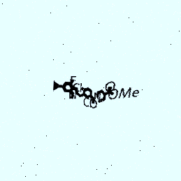 COC(=O)C1CCN(C(=O)C2CC=C(Cl)C(Cc3cc4c(F)cc(C5CC5)cc4n3C)=C2Cl)CC1